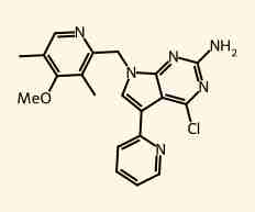 COc1c(C)cnc(Cn2cc(-c3ccccn3)c3c(Cl)nc(N)nc32)c1C